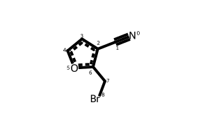 N#Cc1ccoc1CBr